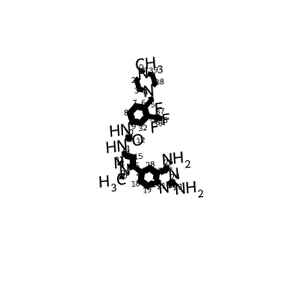 CN1CCN(Cc2ccc(NC(=O)Nc3cc(-c4ccc5nc(N)nc(N)c5c4)n(C)n3)cc2C(F)(F)F)CC1